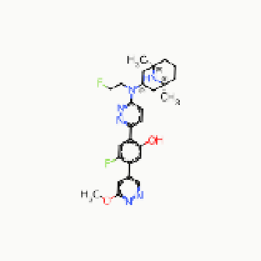 COc1cc(-c2cc(O)c(-c3ccc(N(CCF)[C@@H]4C[C@]5(C)CCC[C@](C)(C4)N5)nn3)cc2F)cnn1